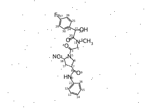 CN(CC(=O)N1CC(C(=O)Nc2ccccc2)CC1C#N)C(=O)[C@H](O)c1ccc(F)cc1